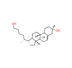 C[C@H](CCCCO)[C@H]1CC[C@H]2[C@@H]3CC=C4C[C@@](C)(O)CC[C@]4(C)[C@H]3CC[C@]12C